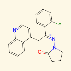 O=C1CCCN1/N=C(\Cc1ccnc2ccccc12)c1ccccc1F